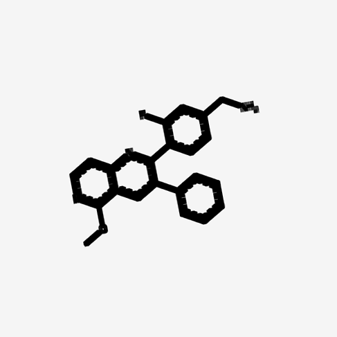 COc1nccc2nc(-c3ccc(CN)cc3F)c(-c3ccccc3)cc12